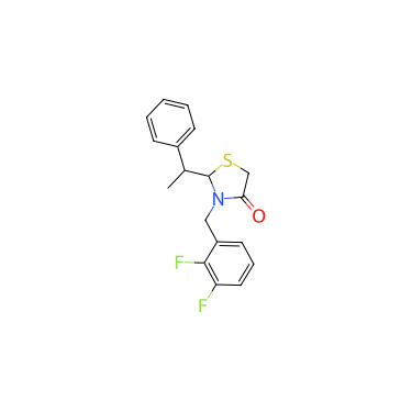 CC(c1ccccc1)C1SCC(=O)N1Cc1cccc(F)c1F